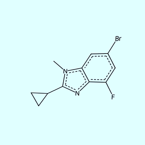 Cn1c(C2CC2)nc2c(F)cc(Br)cc21